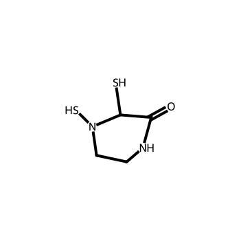 O=C1NCCN(S)C1S